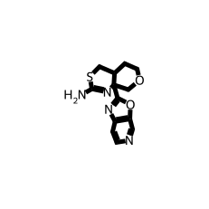 NC1=NC2(c3nc4ccncc4o3)COCCC2CS1